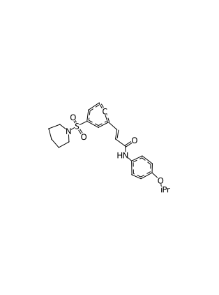 CC(C)Oc1ccc(NC(=O)C=Cc2cccc(S(=O)(=O)N3CCCCC3)c2)cc1